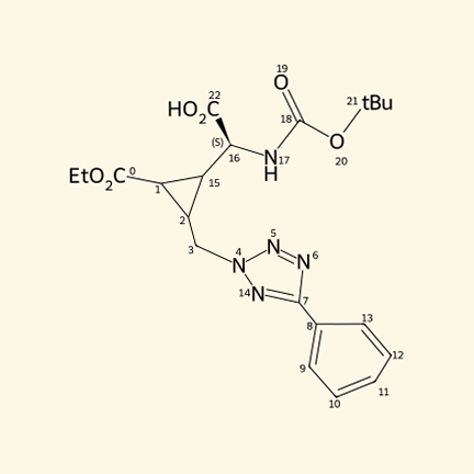 CCOC(=O)C1C(Cn2nnc(-c3ccccc3)n2)C1[C@H](NC(=O)OC(C)(C)C)C(=O)O